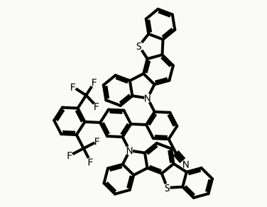 N#Cc1ccc(-n2c3ccccc3c3c4sc5ccccc5c4ccc32)c(-c2ccc(-c3c(C(F)(F)F)cccc3C(F)(F)F)cc2-n2c3ccccc3c3c4sc5ccccc5c4ccc32)c1